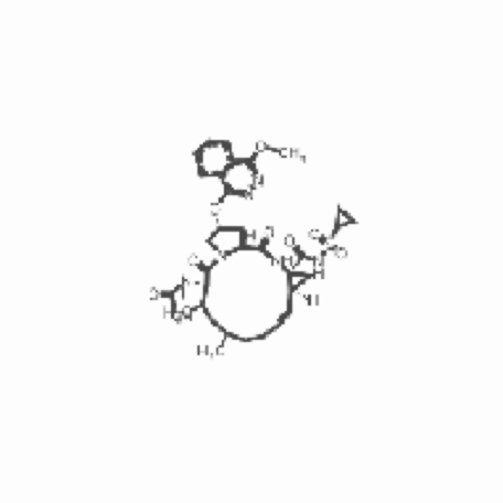 COc1nnc(O[C@@H]2C[C@H]3C(=O)N[C@]4(C(=O)NS(=O)(=O)C5CC5)C[C@H]4/C=C\CC[C@@H](C)C[C@@H](C)[C@H](NC(=O)O)C(=O)N3C2)c2ccccc12